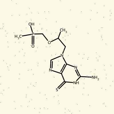 CC(Cn1cnc2c(=S)[nH]c(N)nc21)OCP(C)(=O)O